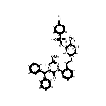 COC(=O)N[C@H](C(=O)Nc1ccccc1CC[C@@H]1CN[C@H](C)[C@@H](CS(=O)(=O)c2ccc(Cl)cc2)O1)C(c1ccccc1)c1ccccc1